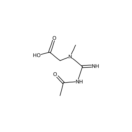 CC(=O)NC(=N)N(C)CC(=O)O